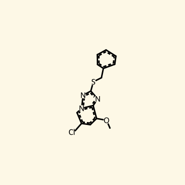 COc1cc(Cl)cn2nc(SCc3ccccc3)nc12